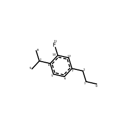 CCCc1ccc(C(C)C)c(F)c1